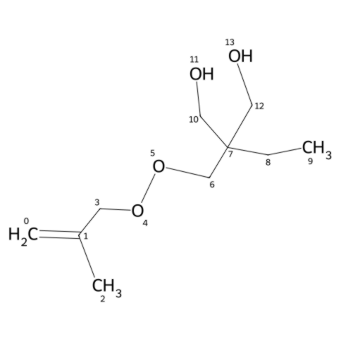 C=C(C)COOCC(CC)(CO)CO